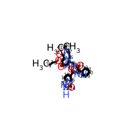 CCCCOc1c2n(c(CNC(=O)[C@H](NC(=O)c3ccc4n[nH]c(=O)n4c3)c3ccccc3)cc1=O)CCN(C(C)C)C2=O